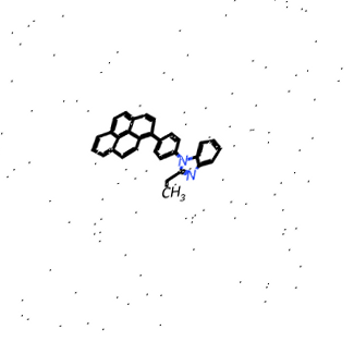 CCc1nc2ccccc2n1-c1ccc(-c2ccc3ccc4cccc5ccc2c3c45)cc1